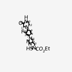 CCOC(=O)N(S)CC1CN(c2ccc(N3CCNC(=O)C3)c(F)c2)N=N1